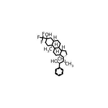 C[C@H]([C@H](O)c1ccccc1)[C@H]1CC[C@H]2[C@@H]3CC[C@@H]4C[C@@](O)(C(F)(F)F)CC[C@]4(C)[C@H]3CC[C@]12C